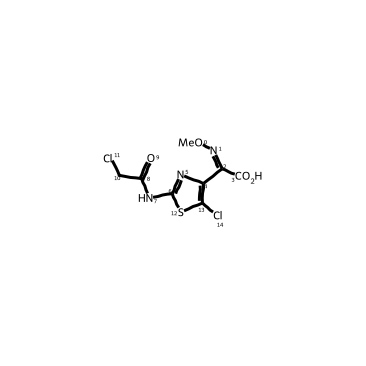 CO/N=C(/C(=O)O)c1nc(NC(=O)CCl)sc1Cl